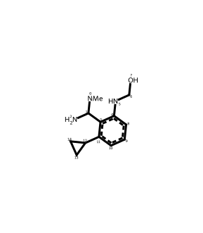 CNC(N)c1c(NCO)cccc1C1CC1